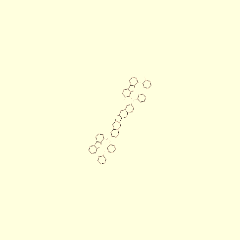 Cc1ccccc1-c1cccc2c1oc1c(N(c3ccccc3)c3ccc4cc5c(cc4c3)oc3cc4cc(N(c6ccccc6)c6c(C)ccc7c6oc6c(-c8ccccc8C)cccc67)ccc4cc35)c(C)ccc12